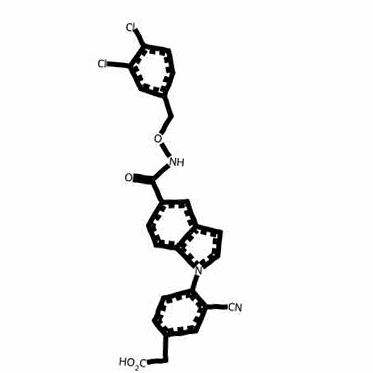 N#Cc1cc(CC(=O)O)ccc1-n1ccc2cc(C(=O)NOCc3ccc(Cl)c(Cl)c3)ccc21